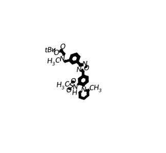 CC1CCCCN1c1ccc(-c2nc(-c3cccc(CN(C)CC(=O)OC(C)(C)C)c3)no2)cc1NS(C)(=O)=O